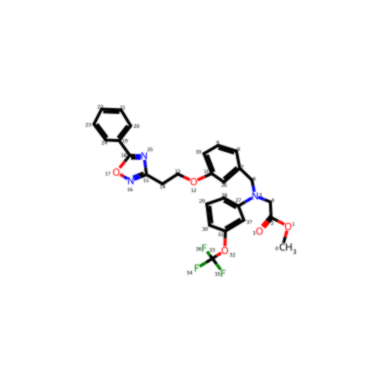 COC(=O)CN(Cc1cccc(OCCc2noc(-c3ccccc3)n2)c1)c1cccc(OC(F)(F)F)c1